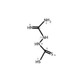 N=C(N)NNC(=S)S